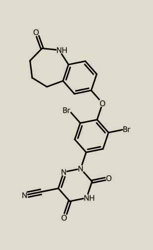 N#Cc1nn(-c2cc(Br)c(Oc3ccc4c(c3)CCCC(=O)N4)c(Br)c2)c(=O)[nH]c1=O